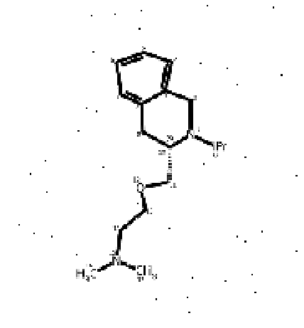 CC(C)N1Cc2ccccc2C[C@H]1COCCN(C)C